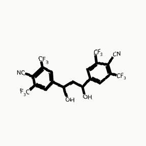 N#Cc1c(C(F)(F)F)cc(C(O)CC(O)c2cc(C(F)(F)F)c(C#N)c(C(F)(F)F)c2)cc1C(F)(F)F